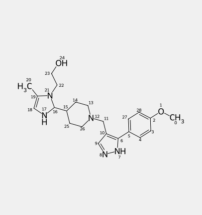 COc1ccc(-c2[nH]ncc2CN2CCC(C3NC=C(C)N3CCO)CC2)cc1